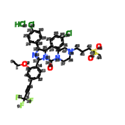 CCOc1cc(C#CC(F)(F)F)ccc1C1=N[C@@H](c2ccc(Cl)cc2)[C@@H](c2ccc(Cl)cc2)N1C(=O)N1CCN(CCCS(C)(=O)=O)CC1.Cl